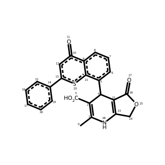 CC1=C(C(=O)O)C(c2cccc3c(=O)cc(-c4ccccc4)sc23)C2=C(COC2=O)N1